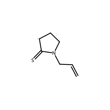 C=CCN1CC[CH]C1=S